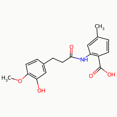 COc1ccc(CCC(=O)Nc2cc(C)ccc2C(=O)O)cc1O